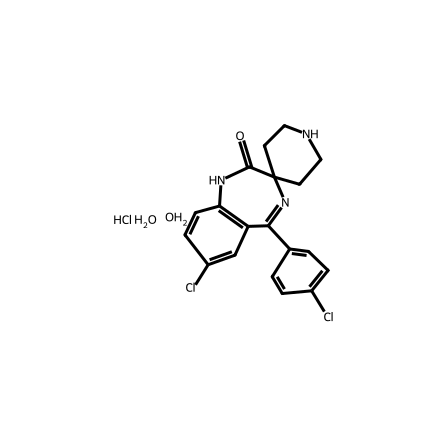 Cl.O.O.O=C1Nc2ccc(Cl)cc2C(c2ccc(Cl)cc2)=NC12CCNCC2